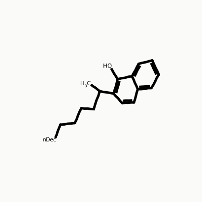 CCCCCCCCCCCCCCC(C)c1ccc2ccccc2c1O